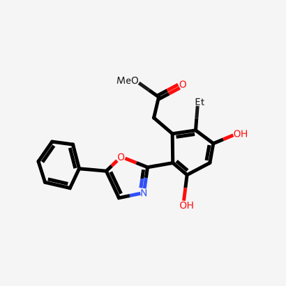 CCc1c(O)cc(O)c(-c2ncc(-c3ccccc3)o2)c1CC(=O)OC